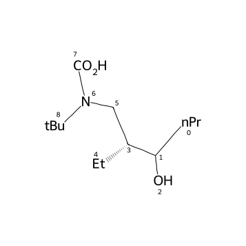 CCCC(O)[C@H](CC)CN(C(=O)O)C(C)(C)C